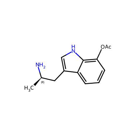 CC(=O)Oc1cccc2c(C[C@@H](C)N)c[nH]c12